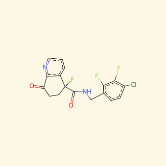 O=C1CC[C@@](F)(C(=O)NCc2ccc(Cl)c(F)c2F)c2cccnc21